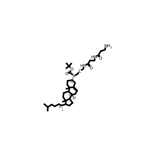 CC(C)CCC[C@@H](C)C1CCC2[C@H]3CC=C4C[C@@H](N(CCCNC(=O)CCNC(=O)CCN)C(=O)OC(C)(C)C)CCC4(C)C3CCC21C